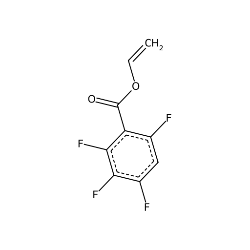 C=COC(=O)c1c(F)cc(F)c(F)c1F